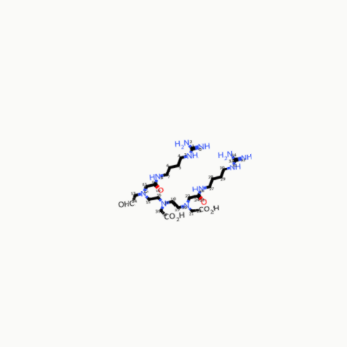 N=C(N)NCCCCNC(=O)CN(CC=O)CCN(CCN(CC(=O)O)CC(=O)NCCCCNC(=N)N)CC(=O)O